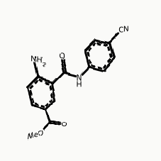 COC(=O)c1ccc(N)c(C(=O)Nc2ccc(C#N)cc2)c1